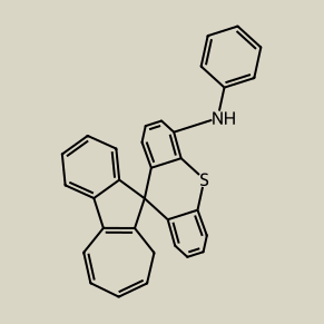 C1=CCC2=C(C=C1)c1ccccc1C21c2ccccc2Sc2c(Nc3ccccc3)cccc21